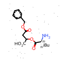 CC[C@H](C)[C@H](N)C(=O)OC(CC(=O)OCc1ccccc1)C(=O)O